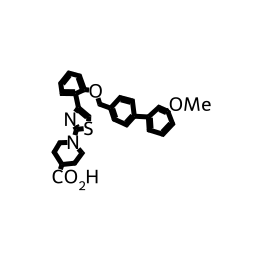 COc1cccc(-c2ccc(COc3ccccc3-c3csc(N4CCC(C(=O)O)CC4)n3)cc2)c1